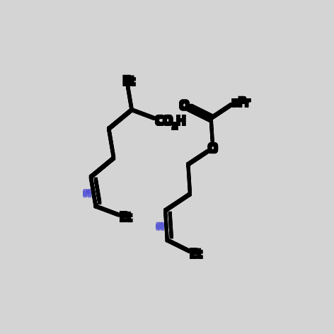 CC/C=C\CCC(CC)C(=O)O.CC/C=C\CCOC(=O)CCC